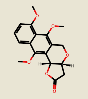 COc1c2c(c(OC)c3c(OC)cccc13)CO[C@@H]1CC(=O)O[C@H]21